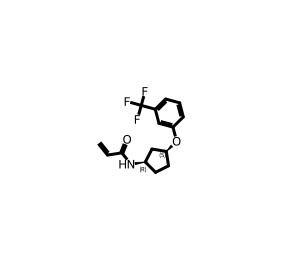 C=CC(=O)N[C@@H]1CC[C@H](Oc2cccc(C(F)(F)F)c2)C1